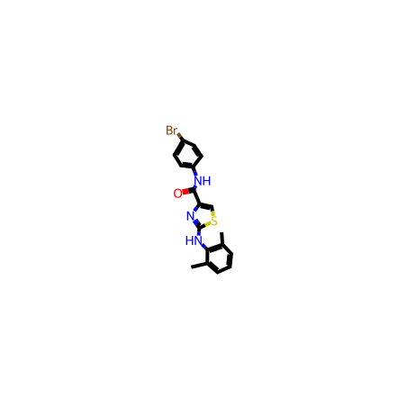 Cc1cccc(C)c1Nc1nc(C(=O)Nc2ccc(Br)cc2)cs1